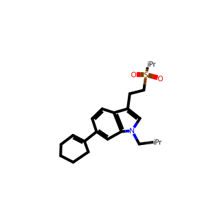 CC(C)Cn1cc(CCS(=O)(=O)C(C)C)c2ccc(C3=CCCCC3)cc21